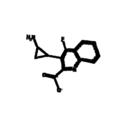 NC1CC1c1c([N+](=O)[O-])nc2ccccc2c1F